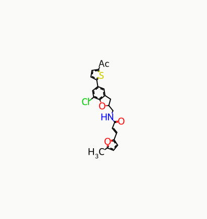 CC(=O)c1ccc(-c2cc(Cl)c3c(c2)CC(CNC(=O)C=Cc2ccc(C)o2)O3)s1